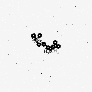 CC1(C)c2ccc(-c3ccc4sc5c(-c6nc(C7C=CC=CC7)c7c(n6)sc6ccccc67)cccc5c4c3)cc2-c2cc3c(cc21)-c1ccccc1C31CCCCC1